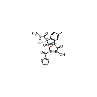 CCC[C@](C(=O)NN)(c1ccc(C)cc1[C@H](CNC(=O)c1cccs1)C(=O)NO)S(C)(=O)=O